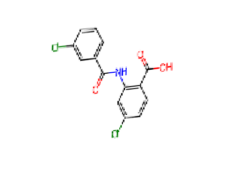 O=C(Nc1cc(Cl)ccc1C(=O)O)c1cccc(Cl)c1